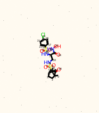 CC12CCC(C(S(=O)(=O)NCC(NS(=O)(=O)c3ccc(Cl)cc3)C(=O)NO)C1=O)C2(C)C